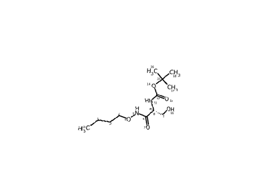 CCCCONC(=O)[C@@H](CO)NC(=O)OC(C)(C)C